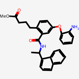 COC(=O)CCCc1ccc(Oc2ccccc2N)cc1C(=O)NC(C)c1cccc2ccccc12